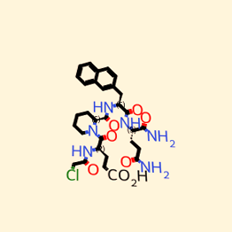 NC(=O)CC[C@H](NC(=O)[C@H](Cc1ccc2ccccc2c1)NC(=O)[C@@H]1CCCCN1C(=O)[C@@H](CCC(=O)O)NC(=O)CCl)C(N)=O